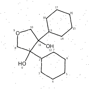 OC1(C2CCCCC2)COCC1(O)C1CCCCC1